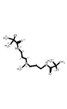 CCC(C)(C)C(=O)NCCCN(C)CCCNC(=O)C(C)(C)CC